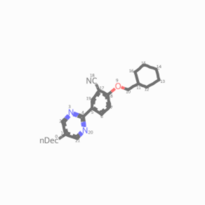 CCCCCCCCCCc1cnc(-c2ccc(OCC3CC[CH]CC3)c(C#N)c2)nc1